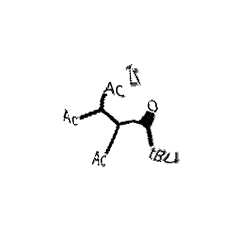 CC(=O)C(C(C)=O)C(C(C)=O)C(=O)C(C)(C)C.[Zr]